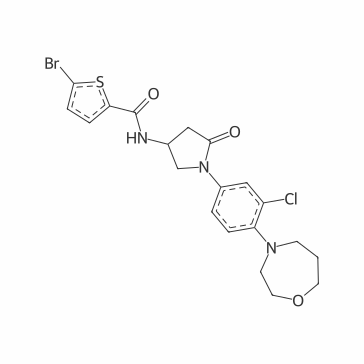 O=C(NC1CC(=O)N(c2ccc(N3CCCOCC3)c(Cl)c2)C1)c1ccc(Br)s1